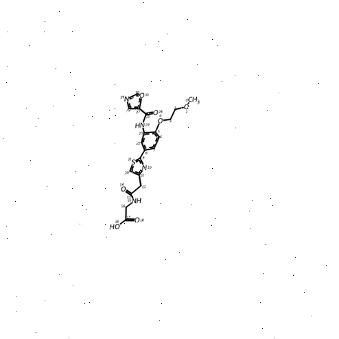 COCCOc1ccc(-c2nc(CC(=O)NCC(=O)O)cs2)cc1NC(=O)c1cnco1